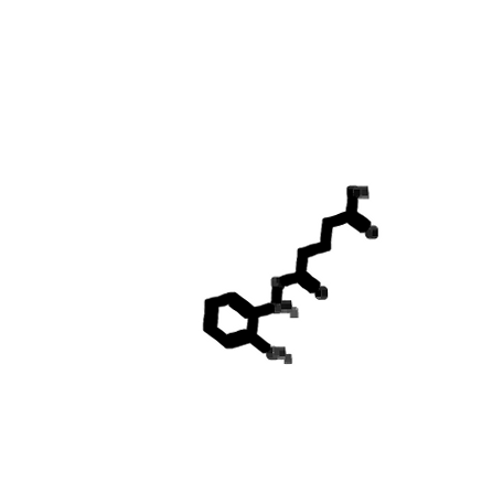 Cc1ccccc1[SiH2]OC(=O)CCCC(=O)O